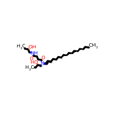 CCCCCCCCCCCCCCCCC=CN(CC(O)CC)C(=O)CCC(=O)NCC(O)CC